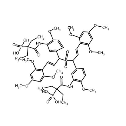 CCC(CC)(C(=O)Nc1cc(C(C=Cc2c(OC)cc(OC)cc2OC)S(=O)(=O)C(C=Cc2c(OC)cc(OC)cc2OC)c2ccc(OC)c(NC(=O)C(CC)(CC)P(=O)(O)O)c2)ccc1OC)P(=O)(O)O